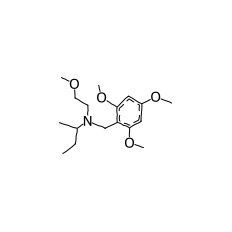 CCC(C)N(CCOC)Cc1c(OC)cc(OC)cc1OC